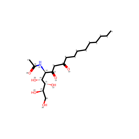 CCCCCCCCCC(=O)CC(=O)[C@H](NC(C)=O)[C@@H](O)[C@H](O)[C@H](O)CO